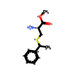 COC(=O)[C@@H](N)CSC(C)c1ccccc1